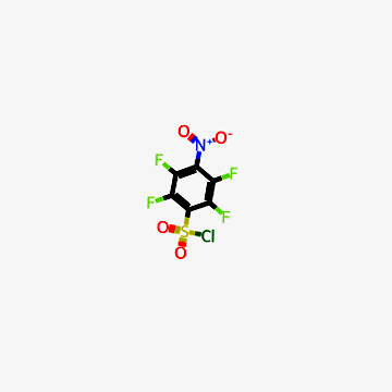 O=[N+]([O-])c1c(F)c(F)c(S(=O)(=O)Cl)c(F)c1F